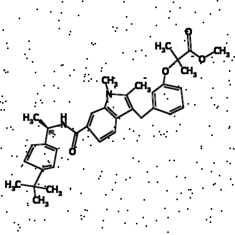 COC(=O)C(C)(C)Oc1cccc(Cc2c(C)n(C)c3cc(C(=O)N[C@H](C)c4ccc(C(C)(C)C)cc4)ccc23)c1